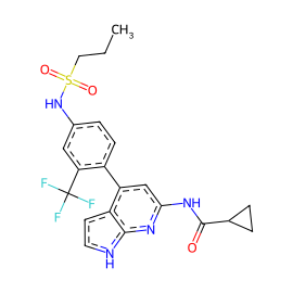 CCCS(=O)(=O)Nc1ccc(-c2cc(NC(=O)C3CC3)nc3[nH]ccc23)c(C(F)(F)F)c1